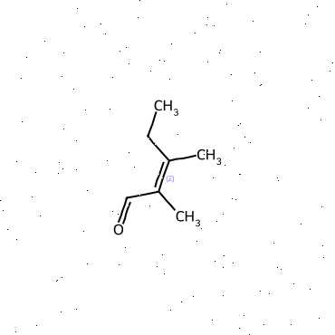 CC/C(C)=C(/C)C=O